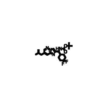 C=C(C)Cc1cnn2cc([C@@H](NC(=O)OC(C)(C)C)C3CCC(F)(F)CC3)nc2c1